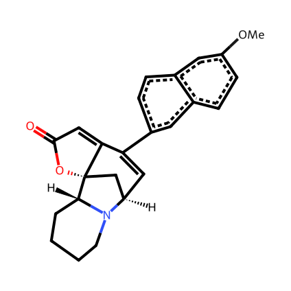 COc1ccc2cc(C3=C[C@@H]4C[C@@]5(OC(=O)C=C35)[C@H]3CCCCN43)ccc2c1